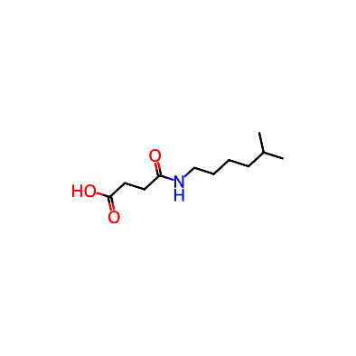 CC(C)CCCCNC(=O)CCC(=O)O